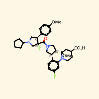 COC[C@H]1CN(C(=O)[C@]2(F)CN(C3CCCC3)C[C@H]2c2ccc(OC)cc2)C[C@@H]1c1ccc(F)cc1N1CCC(C(=O)O)CC1